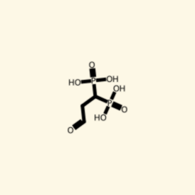 O=CCC(P(=O)(O)O)P(=O)(O)O